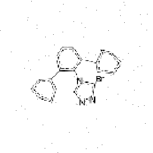 Brc1nncn1-c1c(-c2ccccc2)cccc1-c1ccccc1